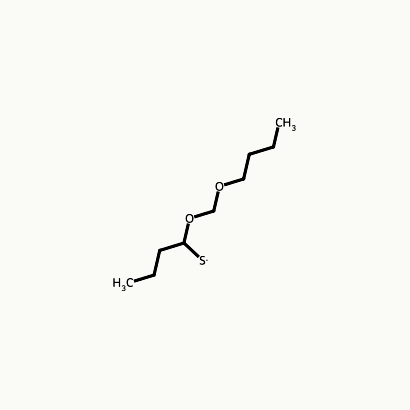 CCCCOCOC([S])CCC